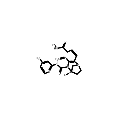 C=NC1=C(/C=C\CC(=O)NC(C)C)N2CC[C@@H](C2)N1C(=O)Nc1cc(N)ccn1